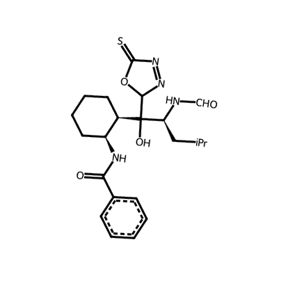 CC(C)C[C@H](NC=O)C(O)(C1N=NC(=S)O1)[C@@H]1CCCC[C@@H]1NC(=O)c1ccccc1